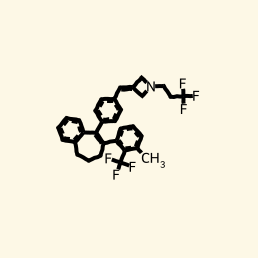 Cc1cccc(C2=C(c3ccc(C=C4CN(CCC(F)(F)F)C4)cc3)c3ccccc3CCC2)c1C(F)(F)F